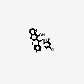 Cc1cc(Cl)cnc1NC(c1ccc(F)cc1F)c1ccc2cccnc2c1O